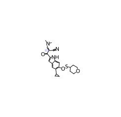 CN(C)/C=C(\C#N)C(=O)c1cc2cc(C3CC3)c(OSC3CCOCC3)cc2[nH]1